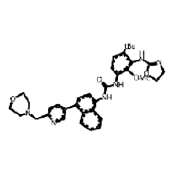 COc1c(NC(=O)Nc2ccc(-c3ccc(CN4CCOCC4)nc3)c3ccccc23)ccc(C(C)(C)C)c1NC1=NCCO1